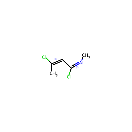 C/N=C(Cl)\C=C(/C)Cl